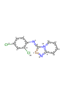 Clc1ccc(N=c2snc3ccccn23)c(Cl)c1